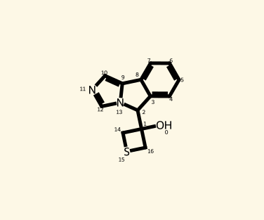 OC1(C2c3ccccc3-c3cncn32)CSC1